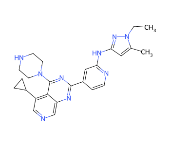 CCn1nc(Nc2cc(-c3nc(N4CCNCC4)c4c(C5CC5)cncc4n3)ccn2)cc1C